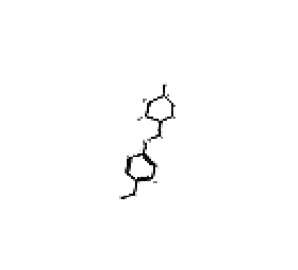 CCc1ccc(OCC2CCC(C)CC2)cc1